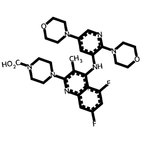 Cc1c(N2CCN(C(=O)O)CC2)nc2cc(F)cc(F)c2c1Nc1cc(N2CCOCC2)cnc1N1CCOCC1